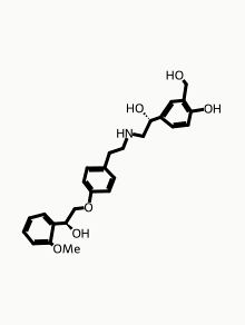 COc1ccccc1[C@H](O)COc1ccc(CCNC[C@H](O)c2ccc(O)c(CO)c2)cc1